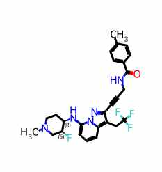 Cc1ccc(C(=O)NCC#Cc2nn3c(N[C@@H]4CCN(C)C[C@@H]4F)cccc3c2CC(F)(F)F)cc1